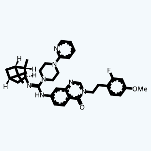 COc1ccc(CCn2cnc3cc(N/C(=N/[C@H]4C[C@@H]5C[C@H]([C@@H]4C)C5(C)C)N4CCN(c5ccccn5)CC4)ccc3c2=O)c(F)c1